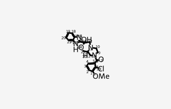 COc1cccc(C(=O)N2CCN3C[C@@](O)(c4nc5ccccc5[nH]4)OC[C@@H]3C2)c1Cl